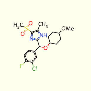 CO[C@H]1CC[C@@H](OC(c2ccc(F)c(Cl)c2)c2nc(S(C)(=O)=O)c(C)[nH]2)CC1